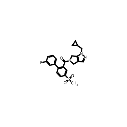 CS(=O)(=O)c1ccc(-c2cccc(F)c2)c(C(=O)N2Cc3cnn(CC4CC4)c3C2)c1